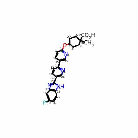 CC1(C(=O)O)CCC(Oc2ccc(-c3ccc(-c4nc5cc(F)ccc5[nH]4)cn3)cn2)CC1